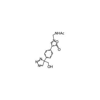 CC(=O)NCn1cc(-c2ccc(C3(CO)C=NN=N3)cc2)c(=O)o1